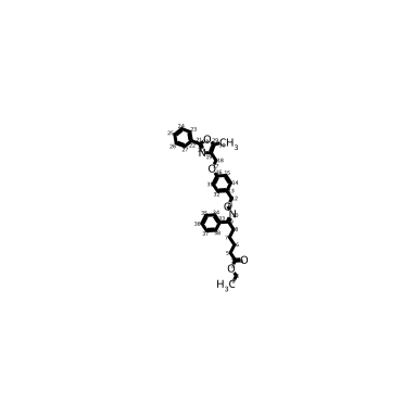 CCOC(=O)CCCCC(=NOCc1ccc(OCc2nc(-c3ccccc3)oc2C)cc1)c1ccccc1